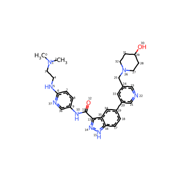 CN(C)CCNc1ccc(NC(=O)c2n[nH]c3ccc(-c4cncc(CN5CCC(O)CC5)c4)cc23)cn1